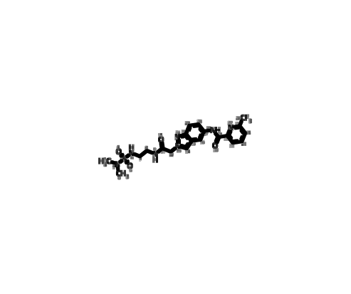 CN(C)S(=O)(=O)NCCNC(=O)Cn1cc2cc(NC(=O)c3cccc(C(F)(F)F)n3)ccc2n1